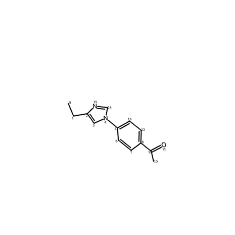 CCc1cn(-c2ccc(C(C)=O)cc2)cn1